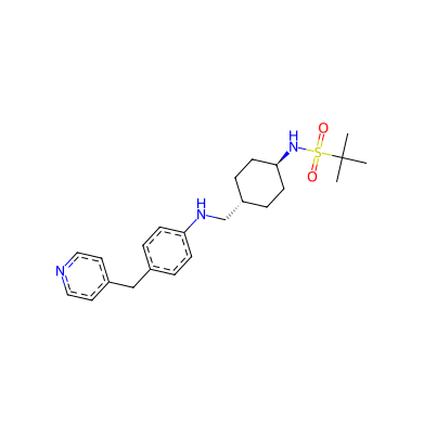 CC(C)(C)S(=O)(=O)N[C@H]1CC[C@H](CNc2ccc(Cc3ccncc3)cc2)CC1